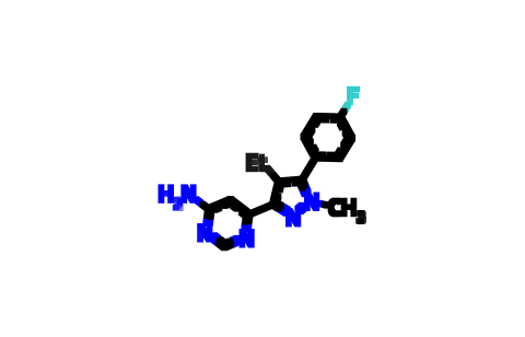 CCc1c(-c2cc(N)ncn2)nn(C)c1-c1ccc(F)cc1